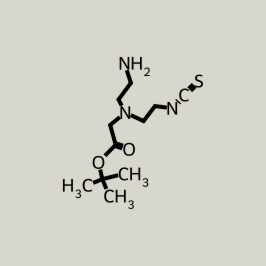 CC(C)(C)OC(=O)CN(CCN)CCN=C=S